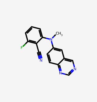 CN(c1ccc2ncncc2c1)c1cccc(F)c1C#N